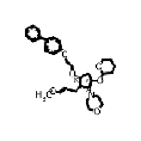 COC=CC[C@@H]1[C@@H](N2CCOCC2)[C@H](OC2CCCCO2)C[C@@H]1OCCCc1ccc(-c2ccccc2)cc1